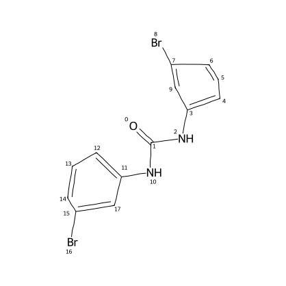 O=C(Nc1cccc(Br)c1)Nc1cccc(Br)c1